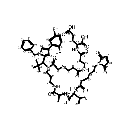 CC(NC(=O)C(NC(=O)CCCCCN1C(=O)C=CC1=O)C(C)C)C(=O)NCCCN(C(=O)CSCCC(=O)NCCC(=O)NC(CCC(=O)O)C(=O)O)C(c1cc(-c2cc(F)ccc2F)cn1Cc1ccccc1)C(C)(C)C